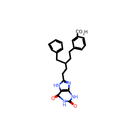 O=C(O)c1cccc(CCC(CCc2nc3[nH]c(=O)[nH]c(=O)c3[nH]2)Cc2ccccc2)c1